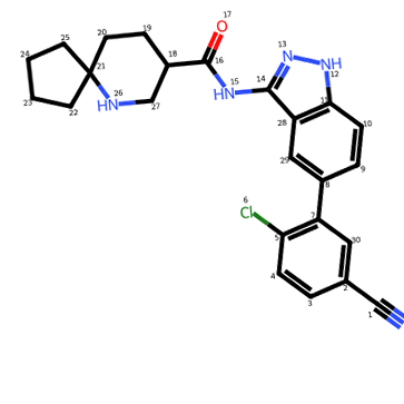 N#Cc1ccc(Cl)c(-c2ccc3[nH]nc(NC(=O)C4CCC5(CCCC5)NC4)c3c2)c1